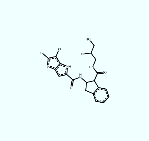 O=C(NC1Cc2ccccc2C1C(=O)NCC(O)CO)c1cc2sc(Cl)c(Cl)c2[nH]1